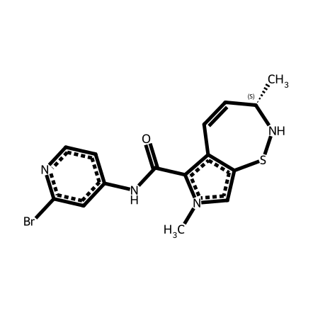 C[C@H]1C=Cc2c(cn(C)c2C(=O)Nc2ccnc(Br)c2)SN1